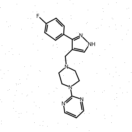 Fc1ccc(-c2n[nH]cc2CN2CCN(c3ncccn3)CC2)cc1